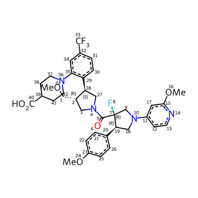 COC[C@H]1CN(C(=O)[C@]2(F)CN(c3ccnc(OC)c3)C[C@H]2c2ccc(OC)cc2)C[C@@H]1c1ccc(C(F)(F)F)cc1N1CCC(C(=O)O)CC1